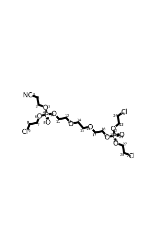 N#CCCOP(=O)(OCCCl)OCCOCCOCCOP(=O)(OCCCl)OCCCl